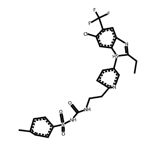 CCC1=Nc2cc(C(F)(F)F)c(Cl)cc2[SH]1c1ccc(CCNC(=O)NS(=O)(=O)c2ccc(C)cc2)nc1